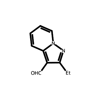 CCc1nn2ccccc2c1C=O